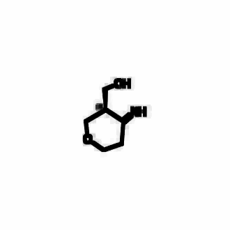 N=C1CCOC[C@H]1CO